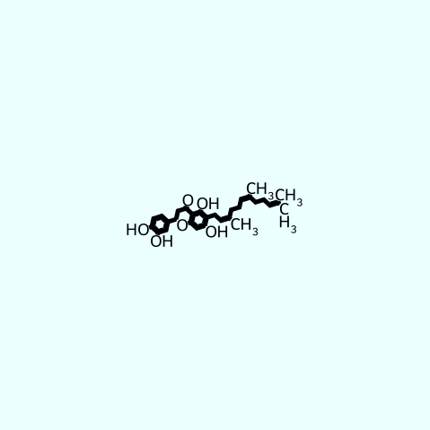 CC(C)=CCCC(C)=CCCC(C)=CCc1c(O)cc2c(c1O)C(=O)CC(c1ccc(O)c(O)c1)O2